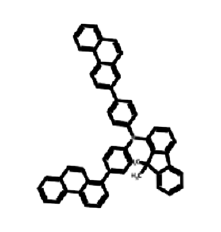 CC1(C)c2ccccc2-c2cccc(N(c3ccc(-c4ccc5c(ccc6ccccc65)c4)cc3)c3ccc(-c4cccc5c4ccc4ccccc45)cc3)c21